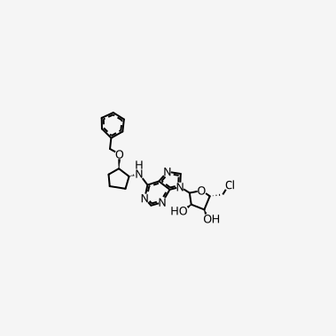 O[C@@H]1[C@@H](CCl)OC(n2cnc3c(N[C@@H]4CCC[C@H]4OCc4ccccc4)ncnc32)[C@@H]1O